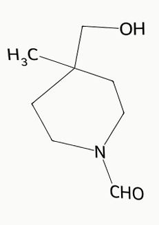 CC1(CO)CCN(C=O)CC1